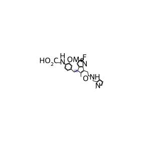 COc1cc(/C=C2/C(C)=C(CC(=O)NCc3cccn3C)c3nc(F)ccc32)ccc1NCC(=O)O